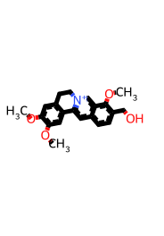 COc1cc2c(cc1OC)-c1cc3ccc(CO)c(OC)c3c[n+]1CC2